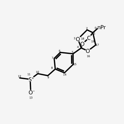 CCCC12COC(c3ccc(CC[S+](C)[O-])cc3)(OC1)OC2